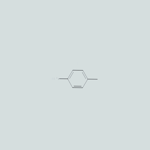 Cc1ccc(N)cc1.F